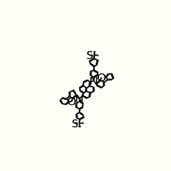 C[Si](C)(C)c1ccc(-c2ccc(N(c3ccc4ccc5c(N(c6ccc(-c7ccc([Si](C)(C)C)cc7)cc6)c6cccc7c6oc6ccccc67)ccc6ccc3c4c65)c3cccc4c3oc3ccccc34)cc2)cc1